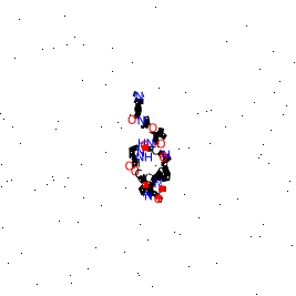 CCn1c(-c2cccnc2[C@H](C)OC)c2c3cc(ccc31)-c1cnc(o1)C[C@H](NC(=O)[C@@H](COC1CN(C(=O)C#CC(C)(C)N(C)C)C1)C(C)C)C(=O)N1CCC[C@H](N1)C(=O)OCC(C)(C)C2